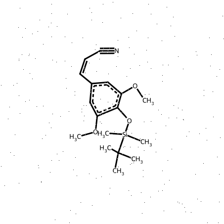 COc1cc(/C=C\C#N)cc(OC)c1O[Si](C)(C)C(C)(C)C